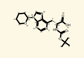 CC(C)(C)OC(=O)N[C@H](Cc1ncnc2c1ncn2[C@@H]1CCCCO1)C(=O)O